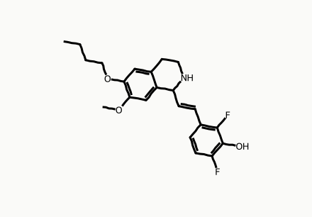 CCCCOc1cc2c(cc1OC)C(/C=C/c1ccc(F)c(O)c1F)NCC2